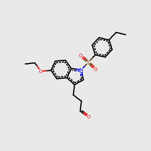 CCOc1ccc2c(c1)c(CCC=O)cn2S(=O)(=O)c1ccc(CC)cc1